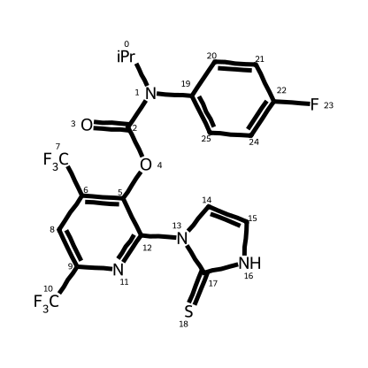 CC(C)N(C(=O)Oc1c(C(F)(F)F)cc(C(F)(F)F)nc1-n1cc[nH]c1=S)c1ccc(F)cc1